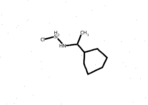 CC(N[SiH2]Cl)C1CCCCC1